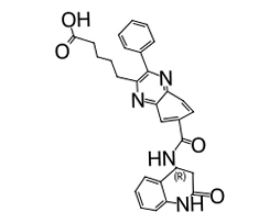 O=C(O)CCCCc1nc2cc(C(=O)N[C@@H]3CC(=O)Nc4ccccc43)ccc2nc1-c1ccccc1